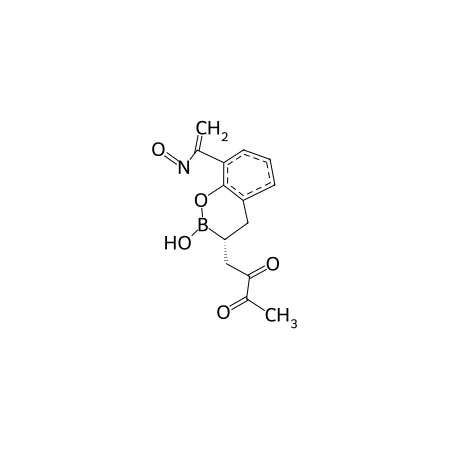 C=C(N=O)c1cccc2c1OB(O)[C@@H](CC(=O)C(C)=O)C2